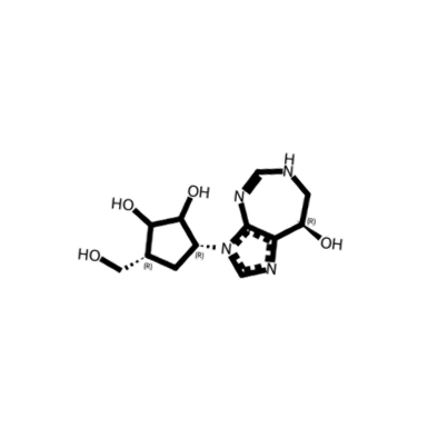 OC[C@H]1C[C@@H](n2cnc3c2N=CNC[C@H]3O)C(O)C1O